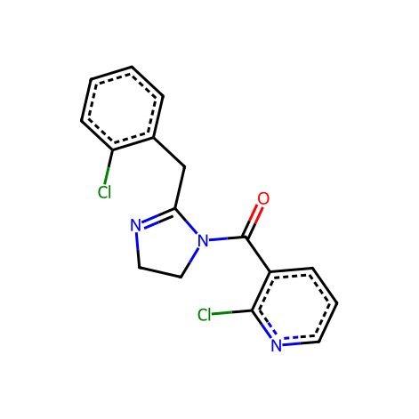 O=C(c1cccnc1Cl)N1CCN=C1Cc1ccccc1Cl